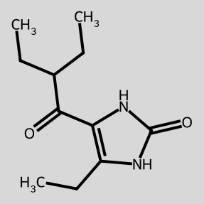 CCc1[nH]c(=O)[nH]c1C(=O)C(CC)CC